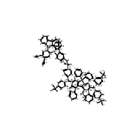 CC(C)(C)c1ccc(N(c2ccc(C(C)(C)Cc3ccc4c(c3)c3ccccc3n4-c3cc(C#N)c(C#N)cc3-n3c4ccccc4c4ccccc43)cc2)c2cc3c(c4c2oc2ccccc24)-c2c(cc(N(c4ccc(C(C)(C)C)cc4)c4ccc(C(C)(C)C)cc4)c4c2oc2ccccc24)C3(c2ccccc2)c2ccccc2)cc1